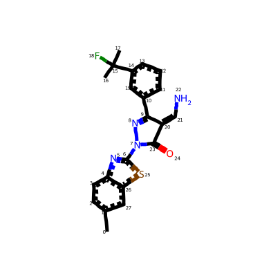 Cc1ccc2nc(N3N=C(c4cccc(C(C)(C)F)c4)/C(=C\N)C3=O)sc2c1